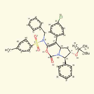 Cc1ccc(S(=O)(=O)N(Cc2ccccc2)C2=C(c3ccc(Cl)cc3)C3C[C@H](O[Si](C)(C)C(C)(C)C)[C@@H](c4ccccc4)N3C(=O)O2)cc1